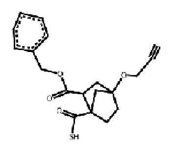 C#CCOC12CCC(C(=O)S)(C1)C(C(=O)OCc1ccccc1)C2